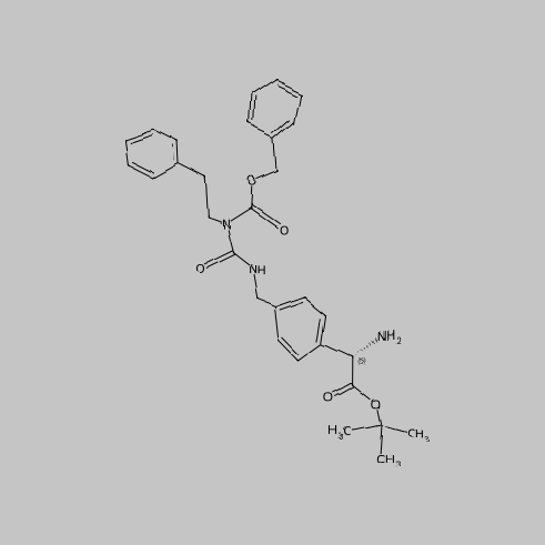 CC(C)(C)OC(=O)[C@@H](N)c1ccc(CNC(=O)N(CCc2ccccc2)C(=O)OCc2ccccc2)cc1